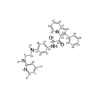 Cc1cc(C)nc(N(C)CCN(C)c2ccc(NC(=O)C(=O)c3c(-c4ccccc4)cc4ccccn34)cc2)c1